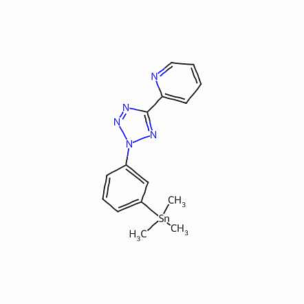 [CH3][Sn]([CH3])([CH3])[c]1cccc(-n2nnc(-c3ccccn3)n2)c1